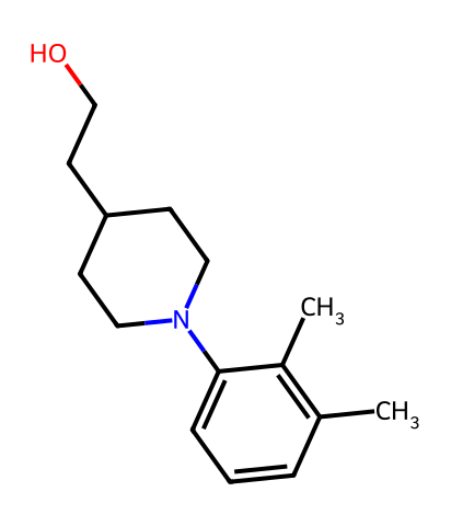 Cc1cccc(N2CCC(CCO)CC2)c1C